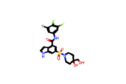 O=C(Nc1cc(F)c(F)c(Cl)c1)c1cc(S(=O)(=O)N2CCC(O)(CO)CC2)cc2[nH]ccc12